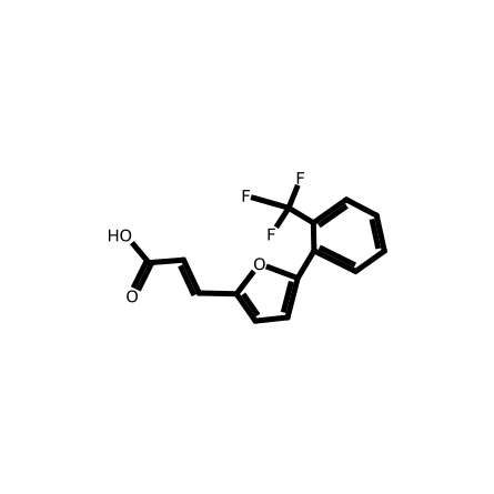 O=C(O)C=Cc1ccc(-c2ccccc2C(F)(F)F)o1